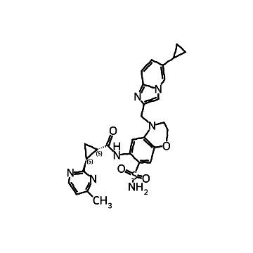 Cc1ccnc([C@H]2C[C@@H]2C(=O)Nc2cc3c(cc2S(N)(=O)=O)OCCN3Cc2cn3cc(C4CC4)ccc3n2)n1